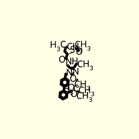 CCOc1nc(CC)c(CNC(=O)[C@@H](CSC(C)=O)CC(C)C)n1Cc1ccc(-c2ccccc2C(=O)OC(C)(C)C)cc1